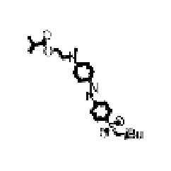 C=C(C)C(=O)OCCN(C)c1ccc(N=Nc2ccc(S(=O)(=O)C[C@H](C)CC)cc2)cc1